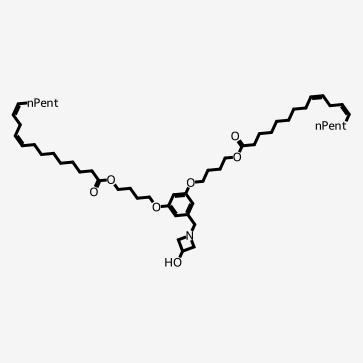 CCCCC/C=C\C/C=C\CCCCCCCC(=O)OCCCCOc1cc(CN2CC(O)C2)cc(OCCCCOC(=O)CCCCCCC/C=C\C/C=C\CCCCC)c1